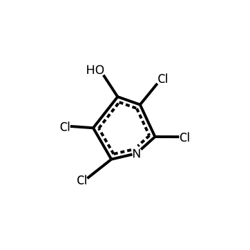 Oc1c(Cl)c(Cl)nc(Cl)c1Cl